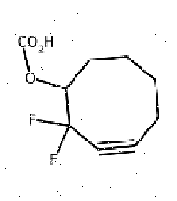 O=C(O)OC1CCCCC#CC1(F)F